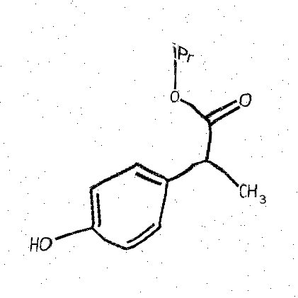 CC(C)OC(=O)C(C)c1ccc(O)cc1